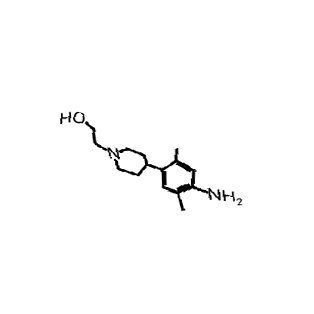 Cc1cc(C2CCN(CCO)CC2)c(C)cc1N